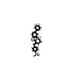 CN(C)c1ccc(C=C2CCC[n+]3c2oc2ccc(-c4ccccc4)cc23)cc1